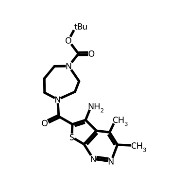 Cc1nnc2sc(C(=O)N3CCCN(C(=O)OC(C)(C)C)CC3)c(N)c2c1C